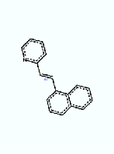 C(=C\c1cccc2ccccc12)/c1ccccn1